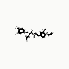 C#CCOc1ccc(CCNC(=O)[C@@H](COc2ccc(Cl)cc2)OCC)cc1OC